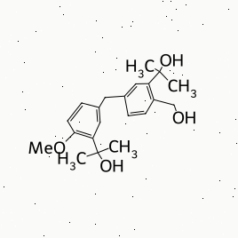 COc1ccc(Cc2ccc(CO)c(C(C)(C)O)c2)cc1C(C)(C)O